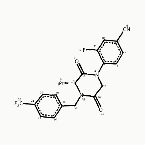 CC(C)[C@@H]1C(=O)N(c2ccc(C#N)cc2F)CC(=O)N1Cc1ccc(C(F)(F)F)cc1